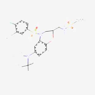 CNS(=O)(=O)NCC1CN(S(=O)(=O)c2ccc(F)c(F)c2)c2cc(N(C(=O)O)C(C)(C)C(F)(F)F)ccc2O1